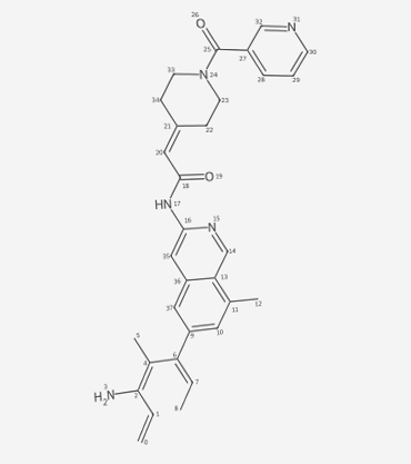 C=C/C(N)=C(C)\C(=C/C)c1cc(C)c2cnc(NC(=O)C=C3CCN(C(=O)c4cccnc4)CC3)cc2c1